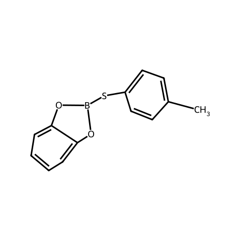 Cc1ccc(SB2Oc3ccccc3O2)cc1